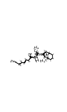 CON1C2CCCC1(C)C[C@H](C(C)NC(=O)C/C=C/CCC(C)C)C2